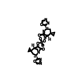 O=C1N2C[C@H](N1OS(=O)(=O)ON1C(=O)N3C[C@H]1C1(CC1)C[C@H]3c1nnco1)C1(CC1)C[C@H]2c1nnco1